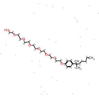 CCCCCC(C)(C)c1ccc(OCCOCCOCCOCCOCCOCCOCCO)cc1